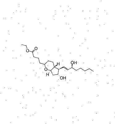 CCCCC[C@H](O)/C=C/[C@@H]1[C@H]2CCC(CCCC(=O)OCC)O[C@@H]2C[C@H]1O